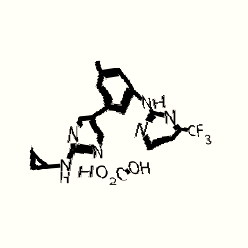 Cc1cc(Nc2nccc(C(F)(F)F)n2)cc(-c2cnc(NC3CC3)nc2)c1.O=C(O)O